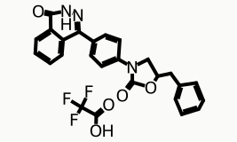 O=C(O)C(F)(F)F.O=C1OC(Cc2ccccc2)CN1c1ccc(-c2n[nH]c(=O)c3ccccc23)cc1